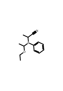 CCOC(C)N(c1ccccc1)C(C)C#N